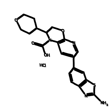 Cl.Nc1nc2ccc(-c3cnc4c(c3)N(C(=O)O)C(C3CCOCC3)CO4)cc2s1